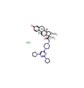 C[C@@H]1C[C@H]2[C@@H]3CCC4=CC(=O)C=C[C@]4(C)C3=CC[C@]2(C)[C@@]1(C)C(=O)CN1CCN(c2cc(N3CCCC3)nc(N3CCCC3)n2)CC1.Cl